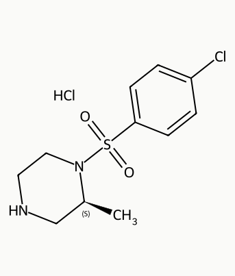 C[C@H]1CNCCN1S(=O)(=O)c1ccc(Cl)cc1.Cl